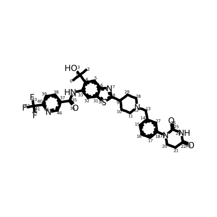 CC(C)(O)c1cc2nc(C3CCN(Cc4cccc(N5CCC(=O)NC5=O)c4)CC3)sc2cc1NC(=O)c1ccc(C(F)(F)F)nc1